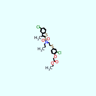 CCCN(CCSc1ccc(OCC(=O)OCC)c(Cl)c1)S(=O)(=O)c1sc2ccc(Cl)cc2c1C